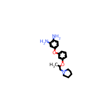 CC(CN1CCCCC1)Oc1cccc(Oc2ccc(N)c(N)c2)c1